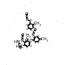 Cc1ccc(C)c(N=C=O)c1.Cc1cccc(C)c1N=C=O.Cc1ccccc1CN=C=O.N=C=O